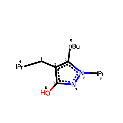 CCCCc1c(CC(C)C)c(O)nn1C(C)C